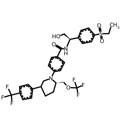 CCS(=O)(=O)c1ccc([C@H](CO)NC(=O)c2ccc(N3CC(c4ccc(C(F)(F)F)cc4)CC[C@H]3COC(F)(F)F)cc2)cc1